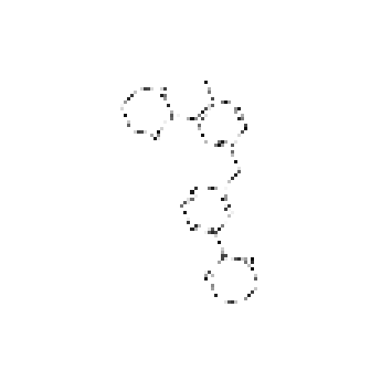 Cc1ccc(Cc2cccc(B3OCCCO3)c2)cc1B1OCCCO1